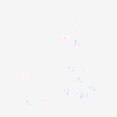 CC#CC(=O)N1CCCC(c2nc(-c3ccc(Oc4cc(OC)ccn4)cn3)n3c(N)nccc23)C1